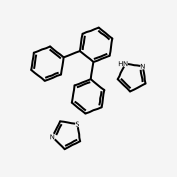 c1ccc(-c2ccccc2-c2ccccc2)cc1.c1cn[nH]c1.c1cscn1